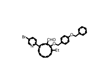 CCc1cccccc(-c2ccc(Br)cn2)cc(C=O)c1OCc1ccc(OCc2ccccc2)cc1